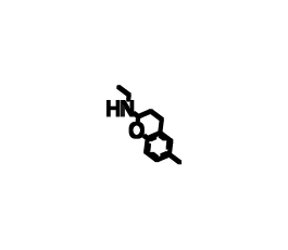 CCNC1CCc2cc(C)ccc2O1